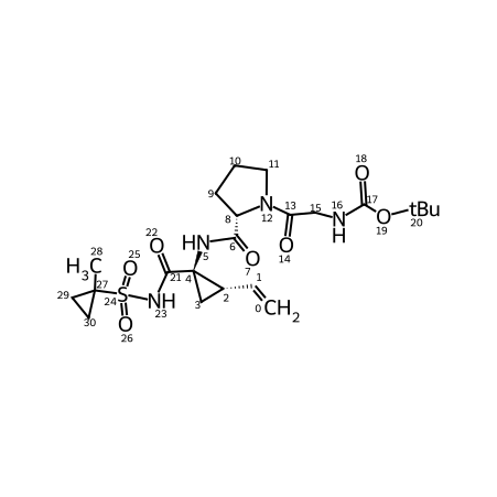 C=C[C@@H]1C[C@]1(NC(=O)[C@@H]1CCCN1C(=O)CNC(=O)OC(C)(C)C)C(=O)NS(=O)(=O)C1(C)CC1